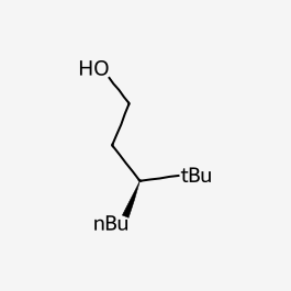 CCCC[C@@H](CCO)C(C)(C)C